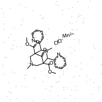 COC(=O)C12CN(C)CC(C(=O)OC)(C1=O)C(c1ccccn1)N(C)C2c1ccccn1.[Cl-].[Cl-].[Mn+2]